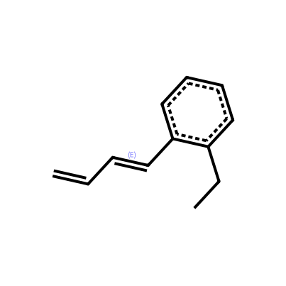 C=C/C=C/c1ccccc1CC